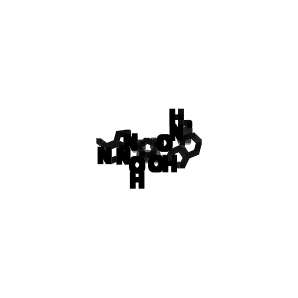 Cc1ncnc2c1ccn2[C@@H]1C[C@H](Oc2cccc3c2[C@@H](N)CCC3)[C@@H](O)[C@H]1O